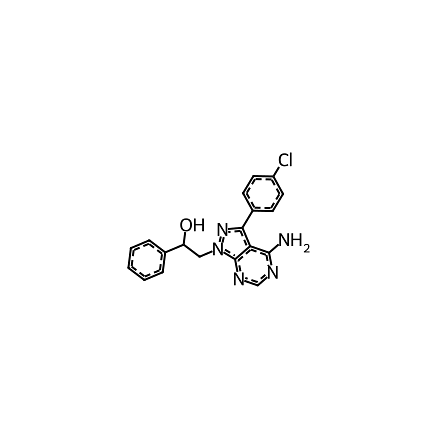 Nc1ncnc2c1c(-c1ccc(Cl)cc1)nn2CC(O)c1ccccc1